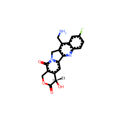 CC[C@@]1(O)C(=O)OCc2c1cc1n(c2=O)Cc2c-1nc1ccc(F)cc1c2CN